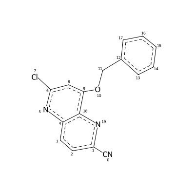 N#Cc1ccc2nc(Cl)cc(OCc3ccccc3)c2n1